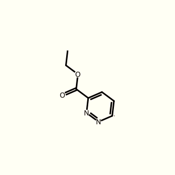 CCOC(=O)c1cc[c]nn1